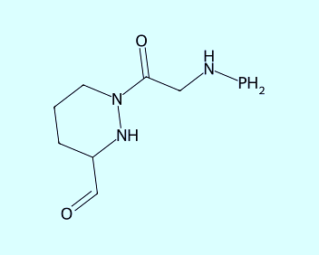 O=CC1CCCN(C(=O)CNP)N1